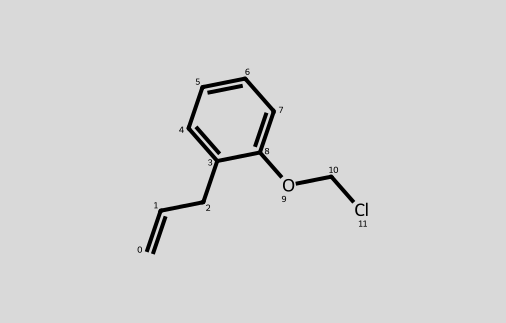 C=CCc1ccccc1OCCl